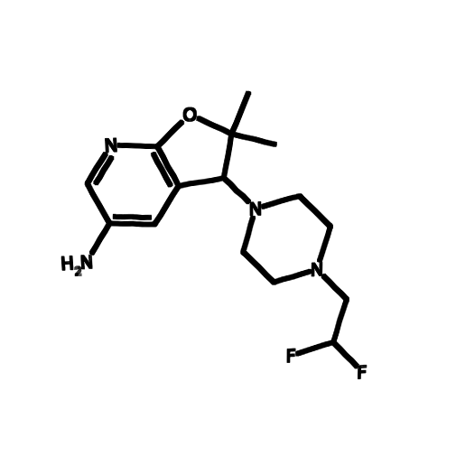 CC1(C)Oc2ncc(N)cc2C1N1CCN(CC(F)F)CC1